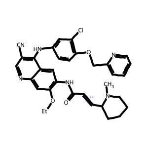 CCOc1cc2ncc(C#N)c(Nc3ccc(OCc4ccccn4)c(Cl)c3)c2cc1NC(=O)/C=C/C1CCCCN1C